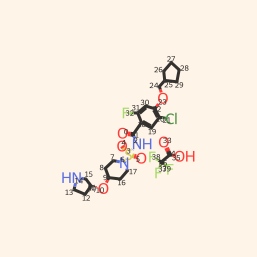 O=C(NS(=O)(=O)N1CCC(O[C@@H]2CCNC2)CC1)c1cc(Cl)c(OCC2CCCC2)cc1F.O=C(O)C(F)(F)F